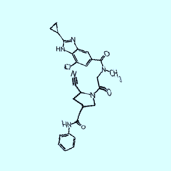 CN(CC(=O)N1CC(C(=O)Nc2ccccc2)CC1C#N)C(=O)c1cc(Cl)c2[nH]c(C3CC3)nc2c1